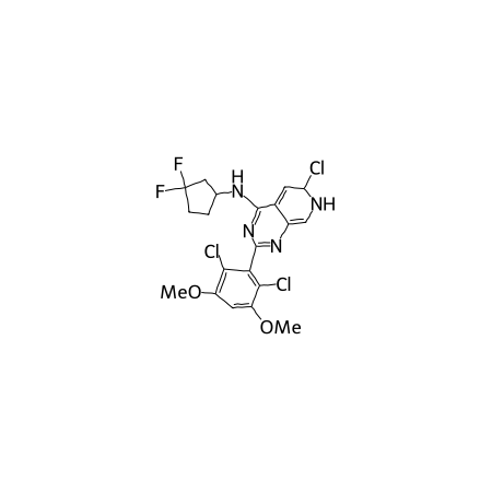 COc1cc(OC)c(Cl)c(-c2nc(NC3CCC(F)(F)C3)c3c(n2)=CNC(Cl)C=3)c1Cl